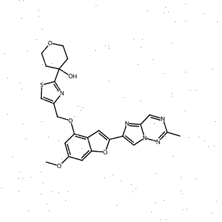 COc1cc(OCc2csc(C3(O)CCOCC3)n2)c2cc(-c3cn4nc(C)ncc4n3)oc2c1